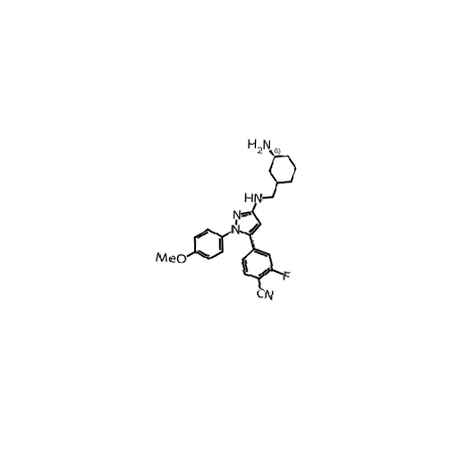 COc1ccc(-n2nc(NCC3CCC[C@H](N)C3)cc2-c2ccc(C#N)c(F)c2)cc1